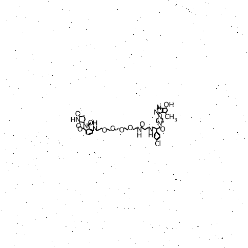 C[C@@H]1C[C@@H](O)c2ncnc(N3CCN(C(=O)C(CNCCC(=O)NCCOCCOCCOCCOCCNc4cccc5c4C(=O)N(C4CCC(=O)NC4=O)C5=O)c4ccc(Cl)cc4)CC3)c21